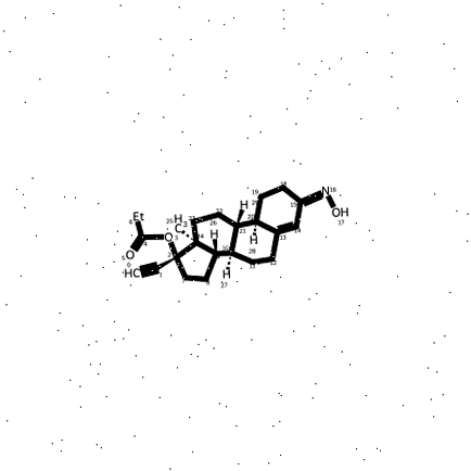 C#C[C@]1(OC(=O)CC)CC[C@H]2[C@@H]3CCC4=CC(=NO)CC[C@@H]4[C@H]3CC[C@@]21C